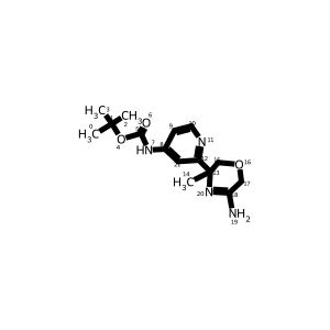 CC(C)(C)OC(=O)Nc1ccnc(C2(C)COCC(N)=N2)c1